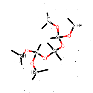 C[SiH](C)O[Si](C)(O[SiH](C)C)O[Si](C)(C)O[Si](C)(O[SiH](C)C)O[SiH](C)C